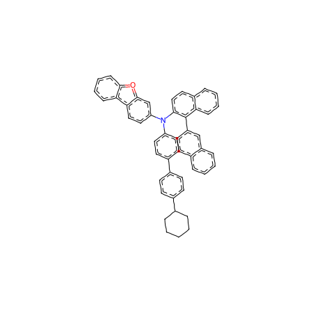 c1ccc2cc(-c3c(N(c4ccc(-c5ccc(C6CCCCC6)cc5)cc4)c4ccc5c(c4)oc4ccccc45)ccc4ccccc34)ccc2c1